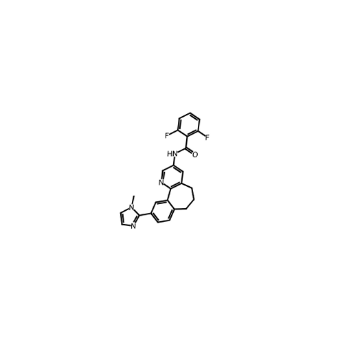 Cn1ccnc1-c1ccc2c(c1)-c1ncc(NC(=O)c3c(F)cccc3F)cc1CCC2